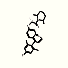 Cc1cc(F)cc(C)c1-c1ccnc2cc(O[C@H](C)C(=O)N3C(C)CCCC3C)ccc12